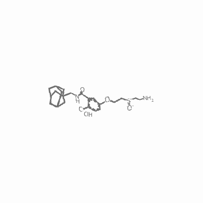 Cl.NCC[S+]([O-])CCOc1ccc(Cl)c(C(=O)NCC23CC4CC(CC(C4)C2)C3)c1